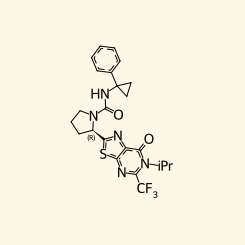 CC(C)n1c(C(F)(F)F)nc2sc([C@H]3CCCN3C(=O)NC3(c4ccccc4)CC3)nc2c1=O